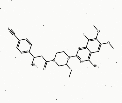 CCC1CN(C(=O)CC(N)c2ccc(C#N)cc2)CCN1c1nc(N)c2cc(OC)c(OC)c(F)c2n1